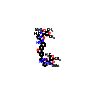 COC(=O)N[C@H](C(=O)N1CCC[C@H]1c1ncc(-c2ccc3c(c2)COc2cc4c(cc2-3)CCc2nc(C3CC[C@H](C)N3C(=O)[C@@H](NC(=O)OC)C3C[C@@H](C)O[C@H](C)C3)[nH]c2-4)[nH]1)C1C[C@@H](C)O[C@H](C)C1